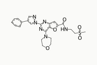 CS(=O)(=O)CCNC(=O)c1cc2nc(-n3cc(-c4ccccc4)cn3)nc(N3CCOCC3)c2o1